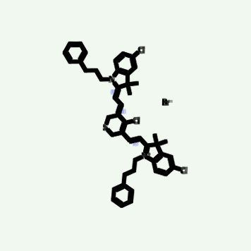 CC1(C)C(/C=C/C2=C(Cl)C(=C/C=C3/N(CCCc4ccccc4)c4ccc(Cl)cc4C3(C)C)/CSC2)=[N+](CCCc2ccccc2)c2ccc(Cl)cc21.[Br-]